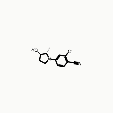 C[C@H]1[C@@H](O)CCN1c1ccc(C#N)c(Cl)c1